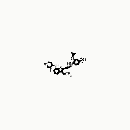 CN1CC[C@@H](Nc2cccc3c(CC(F)(F)F)c(C#CCNc4ccc(P(C)(C)=O)cc4OC4CC4)sc23)[C@@H](F)C1